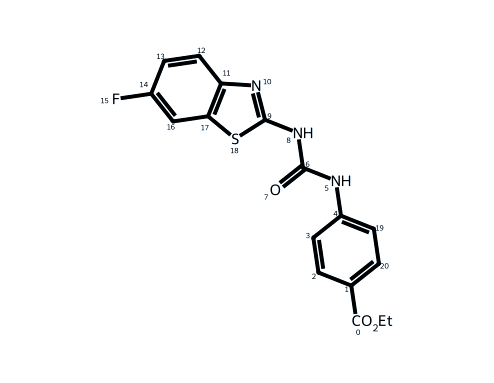 CCOC(=O)c1ccc(NC(=O)Nc2nc3ccc(F)cc3s2)cc1